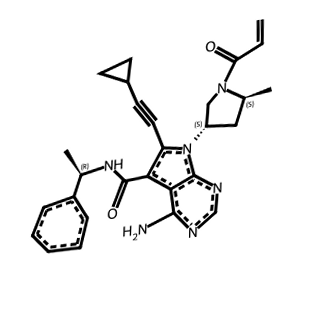 C=CC(=O)N1C[C@@H](n2c(C#CC3CC3)c(C(=O)N[C@H](C)c3ccccc3)c3c(N)ncnc32)C[C@@H]1C